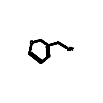 CCCCC1=CC=COC1